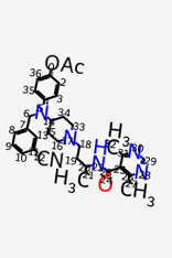 CC(=O)Oc1ccc(N(Cc2cccc(C#N)c2)C2CCN(CCC(C)NC(=O)c3c(C)ncnc3C)CC2)cc1